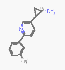 N#Cc1cccc(-c2ccc(C3C[C@@H]3N)cn2)c1